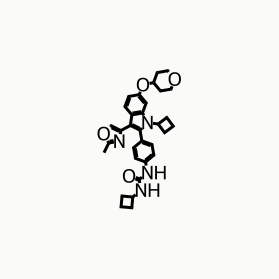 Cc1nc(-c2c(-c3ccc(NC(=O)NC4CCC4)cc3)n(C3CCC3)c3cc(OC4CCOCC4)ccc23)co1